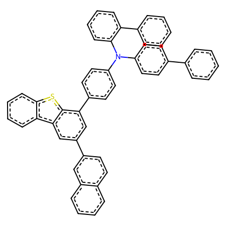 c1ccc(-c2ccc(N(c3ccc(-c4cc(-c5ccc6ccccc6c5)cc5c4sc4ccccc45)cc3)c3ccccc3-c3ccccc3)cc2)cc1